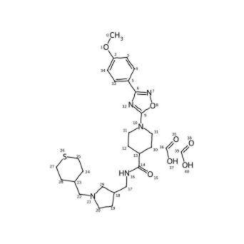 COc1ccc(-c2noc(N3CCC(C(=O)NCC4CCN(CC5CCSCC5)C4)CC3)n2)cc1.O=CO.O=CO